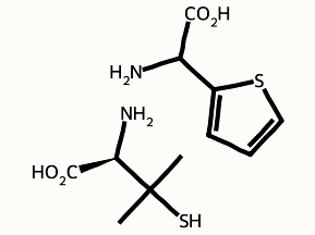 CC(C)(S)[C@H](N)C(=O)O.NC(C(=O)O)c1cccs1